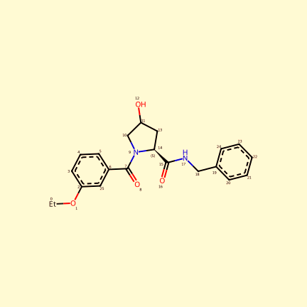 CCOc1cccc(C(=O)N2CC(O)C[C@H]2C(=O)NCc2ccccc2)c1